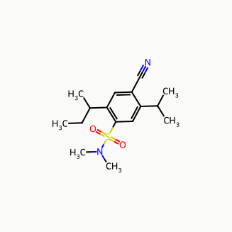 CCC(C)c1cc(C#N)c(C(C)C)cc1S(=O)(=O)N(C)C